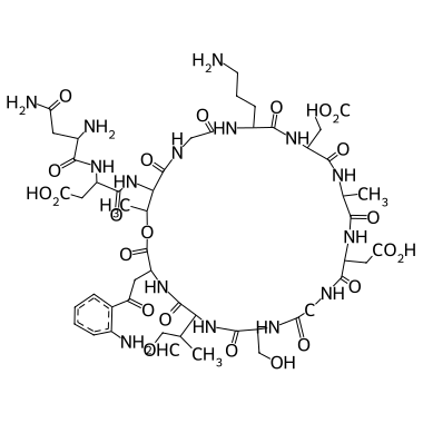 CC1NC(=O)C(CC(=O)O)NC(=O)C(CCCN)NC(=O)CNC(=O)C(NC(=O)C(CC(=O)O)NC(=O)C(N)CC(N)=O)C(C)OC(=O)C(CC(=O)c2ccccc2N)NC(=O)C(C(C)CC=O)NC(=O)C(CO)NC(=O)CNC(=O)C(CC(=O)O)NC1=O